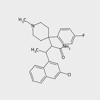 CC(c1cc(Cl)cc2ccccc12)C(C(N)=O)C1(c2ccc(F)cc2)CCN(C)CC1